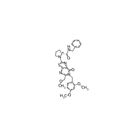 COCc1nc2sc(N3CCC[C@@H]3C(=O)NCc3ccccc3)nc2c(=O)n1Cc1ccc(OC)cc1OC